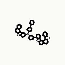 c1ccc(-c2ccc(N(c3cccc(-c4cccc5c4sc4ccc6ccc7oc8ccccc8c7c6c45)c3)c3ccc4oc5ccc6ccccc6c5c4c3)cc2)cc1